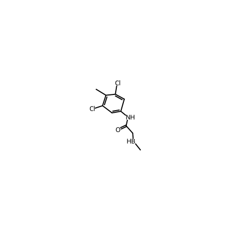 CBCC(=O)Nc1cc(Cl)c(C)c(Cl)c1